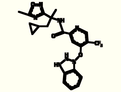 Cc1nc(C(C)(CC2CC2)NC(=O)c2cc(ON3NNc4ccccc43)c(C(F)(F)F)cn2)no1